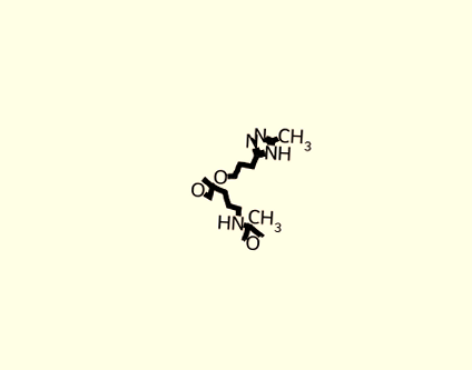 Cc1nnc(CCCOC2(CCCNC3(C)COC3)COC2)[nH]1